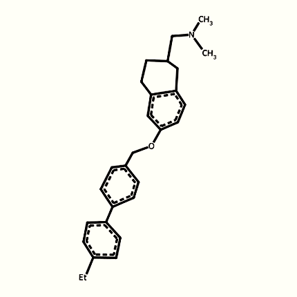 CCc1ccc(-c2ccc(COc3ccc4c(c3)CCC(CN(C)C)C4)cc2)cc1